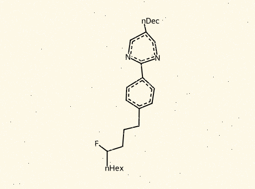 CCCCCCCCCCc1cnc(-c2ccc(CCCC(F)CCCCCC)cc2)nc1